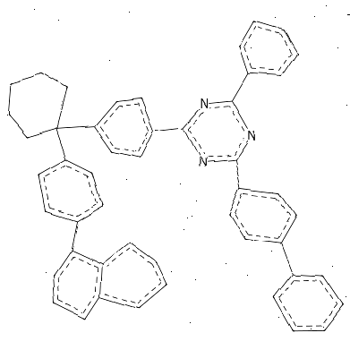 c1ccc(-c2ccc(-c3nc(-c4ccccc4)nc(-c4ccc(C5(c6ccc(-c7cccc8ccccc78)cc6)CCCCC5)cc4)n3)cc2)cc1